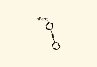 CCCCCc1ccc(C#Cc2ccccc2)cc1